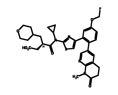 CN1C(=O)CCc2cc(-c3ccc(OCF)cc3-c3csc(N(C(=O)[C@@H](CC(=O)O)CC4CCOCC4)C4CC4)n3)cnc21